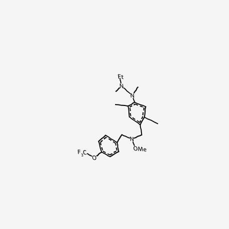 CCN(C)N(C)c1cc(C)c(CN(Cc2ccc(OC(F)(F)F)cc2)OC)cc1C